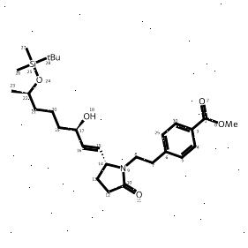 COC(=O)c1ccc(CCN2C(=O)CC[C@@H]2/C=C/[C@H](O)CCC[C@@H](C)O[Si](C)(C)C(C)(C)C)cc1